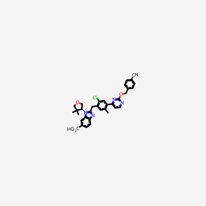 Cc1cc(Cc2nc3ccc(C(=O)O)cc3n2[C@@H]2COCC2(C)C)c(Cl)cc1-c1ccnc(OCc2ccc(C#N)cc2)n1